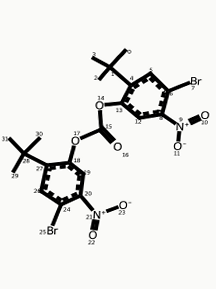 CC(C)(C)c1cc(Br)c([N+](=O)[O-])cc1OC(=O)Oc1cc([N+](=O)[O-])c(Br)cc1C(C)(C)C